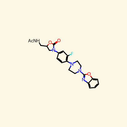 CC(=O)NCC1CN(c2ccc(N3CCN(c4nc5ccccc5o4)CC3)c(F)c2)C(=O)O1